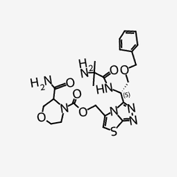 CC(C)(N)C(=O)N[C@H](COCc1ccccc1)c1nnc2scc(COC(=O)N3CCOCC3C(N)=O)n12